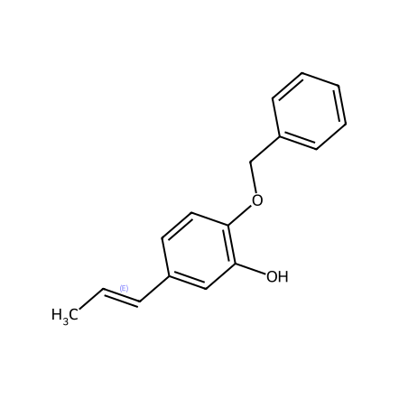 C/C=C/c1ccc(OCc2ccccc2)c(O)c1